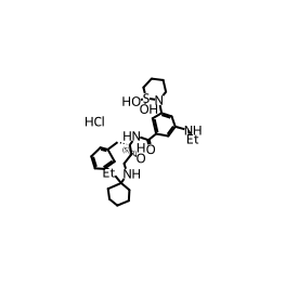 CCNc1cc(C(=O)N[C@@H](Cc2ccccc2)[C@H](O)CNC2(CC)CCCCC2)cc(N2CCCCS2(O)O)c1.Cl